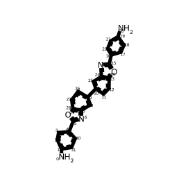 Nc1ccc(-c2nc3cc(-c4ccc5oc(-c6ccc(N)cc6)nc5c4)ccc3o2)cc1